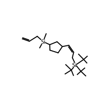 C=CC[Si](C)(C)C1CCC(/C=C\C[Si](C(C)(C)C)(C(C)(C)C)C(C)(C)C)C1